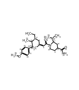 CCN(CC(C)=CC(=O)N1CCC(C(N)=O)CC1N(C)C)C(C)Cc1ccc(OC)cc1